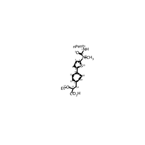 CCCCCNC(=O)N(C)c1ccc(-c2ccc(CC(OCC)C(=O)O)cc2)s1